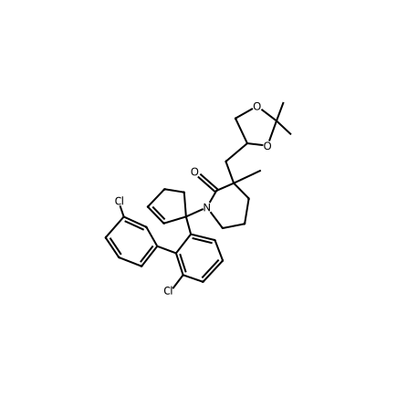 CC1(C)OCC(CC2(C)CCCN(C3(c4cccc(Cl)c4-c4cccc(Cl)c4)C=CCC3)C2=O)O1